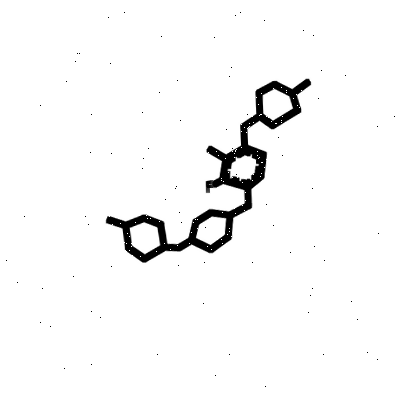 Cc1c(CC2CCC(C)CC2)ccc(CC2CCC(CC3CCC(C)CC3)CC2)c1F